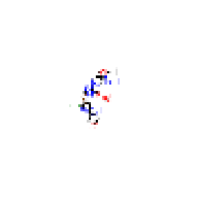 C[C@@H]1OCC2(CCN(c3ncc(Sc4cc5[nH]c6c(c5nc4Cl)CC(O)CC6)nc3CO)CC2)[C@@H]1N.O=CO